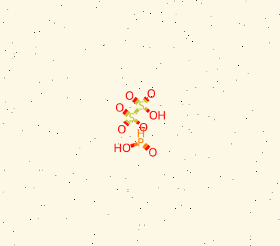 O=[PH](O)OS(=O)(=O)S(=O)(=O)O